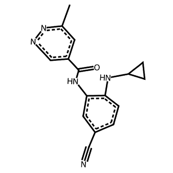 Cc1cc(C(=O)Nc2cc(C#N)ccc2NC2CC2)cnn1